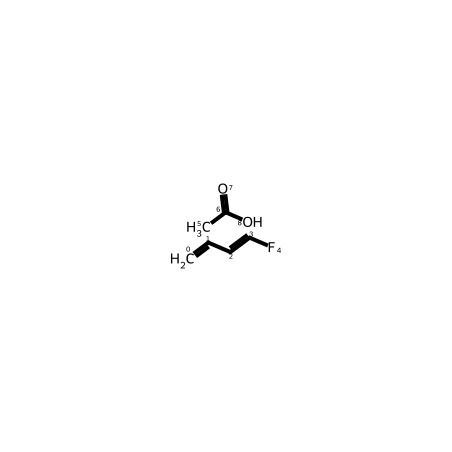 C=CC=CF.CC(=O)O